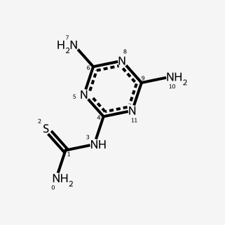 NC(=S)Nc1nc(N)nc(N)n1